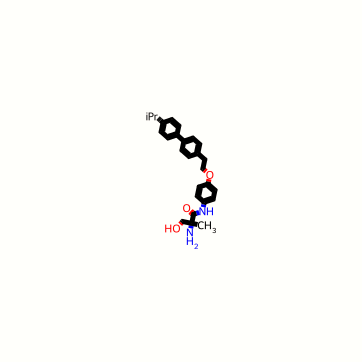 CC(C)c1ccc(-c2ccc(CCOc3ccc(NC(=O)C(C)(N)CO)cc3)cc2)cc1